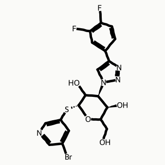 OCC1O[C@H](Sc2cncc(Br)c2)C(O)[C@@H](n2cc(-c3ccc(F)c(F)c3)nn2)[C@H]1O